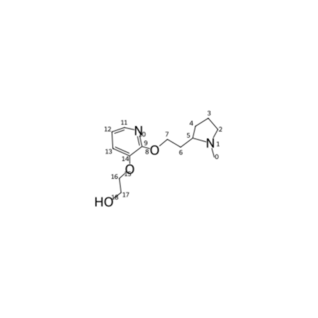 CN1CCCC1CCOc1ncccc1OCCO